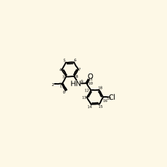 C=C(C)c1ccccc1NC(=O)c1cccc(Cl)c1